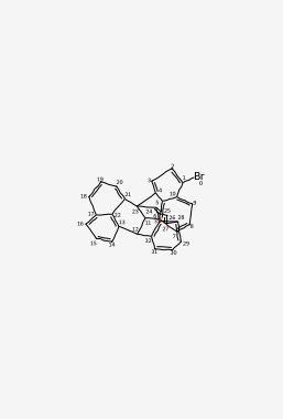 Brc1ccc2c3c(cccc13)C1C3c4cccc5cccc(c45)C21c1cccc2cccc3c12